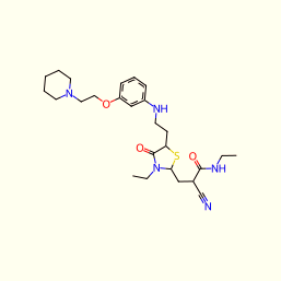 CCNC(=O)C(C#N)CC1SC(CCNc2cccc(OCCN3CCCCC3)c2)C(=O)N1CC